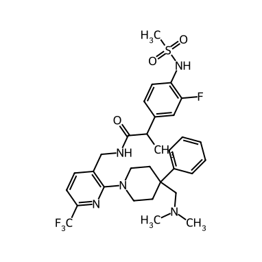 CC(C(=O)NCc1ccc(C(F)(F)F)nc1N1CCC(CN(C)C)(c2ccccc2)CC1)c1ccc(NS(C)(=O)=O)c(F)c1